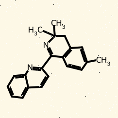 Cc1ccc2c(c1)CC(C)(C)N=C2c1ccc2ccccc2n1